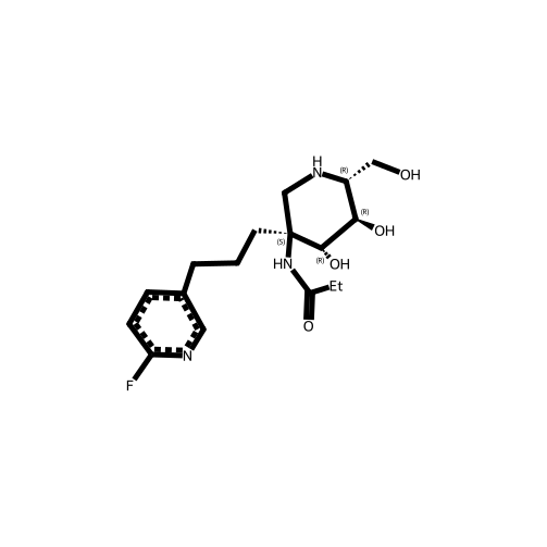 CCC(=O)N[C@@]1(CCCc2ccc(F)nc2)CN[C@H](CO)[C@@H](O)[C@@H]1O